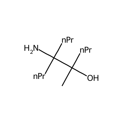 CCCC(C)(O)C(N)(CCC)CCC